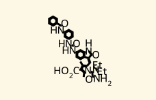 CCN(CC)C(C(N)=O)n1c(C)c(C(=O)O)c(C)c1C=C1C(=O)Nc2cc(NC(=O)Nc3cccc(NC(=O)c4ccccc4)c3)ccc21